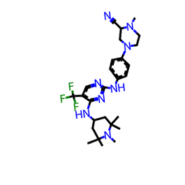 CN1CCN(c2ccc(Nc3ncc(C(F)(F)F)c(NC4CC(C)(C)N(C)C(C)(C)C4)n3)cc2)CC1C#N